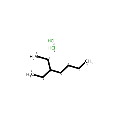 CCCCC(CC)[CH2][AlH2].Cl.Cl